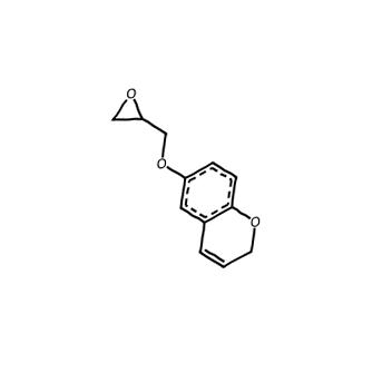 C1=Cc2cc(OCC3CO3)ccc2OC1